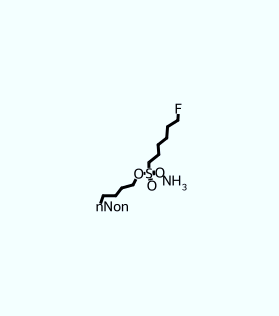 CCCCCCCCCCCCCOS(=O)(=O)CCCCCCF.N